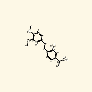 COc1ncc(CCc2ccc(C(C)O)cc2Cl)nc1OC